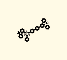 CC1(C)c2ccccc2-c2c(-c3nc(-c4ccccc4)nc(-c4ccc(-c5ccc(-c6ccc(P(=O)(c7ccccc7)c7ccccc7)cc6)cc5)cc4)n3)cccc21